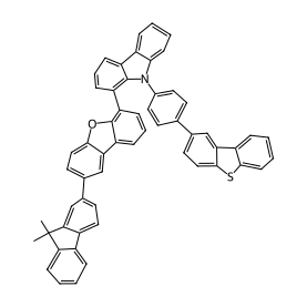 CC1(C)c2ccccc2-c2ccc(-c3ccc4oc5c(-c6cccc7c8ccccc8n(-c8ccc(-c9ccc%10sc%11ccccc%11c%10c9)cc8)c67)cccc5c4c3)cc21